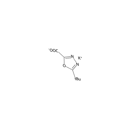 CC(C)(C)c1nnc(C(=O)[O-])o1.[K+]